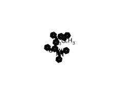 CC1(C)c2ccccc2-c2ccc(N(c3ccccc3)c3ccc(-c4cc(Oc5ccccc5)cc(-c5nc(-c6ccccc6)nc(-c6ccccc6)n5)c4)cc3)cc21